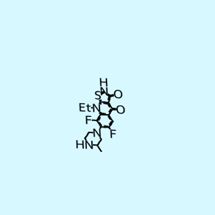 CCn1c2s[nH]c(=O)c2c(=O)c2cc(F)c(N3CCNC(C)C3)c(F)c21